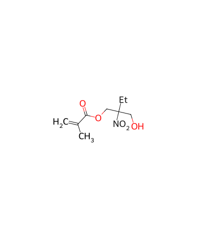 C=C(C)C(=O)OCC(CC)(CO)[N+](=O)[O-]